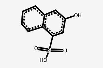 O=S(=O)(O)c1cc(O)[c]c2ccccc12